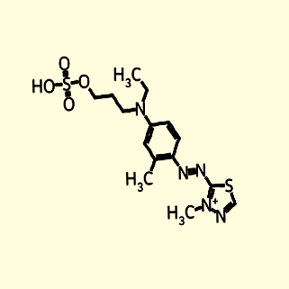 CCN(CCCOS(=O)(=O)O)c1ccc(N=Nc2scn[n+]2C)c(C)c1